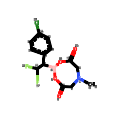 CN1CC(=O)OB(C(c2ccc(Cl)cc2)C(F)F)OC(=O)C1